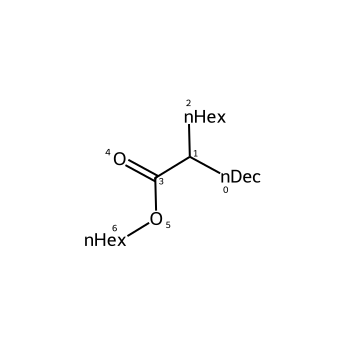 CCCCCCCCCCC(CCCCCC)C(=O)OCCCCCC